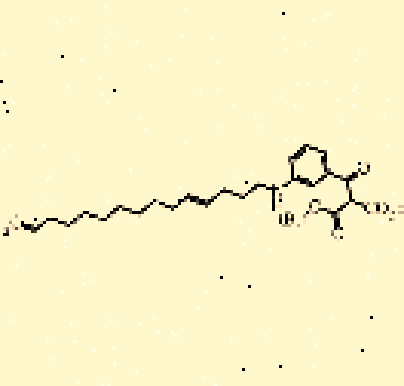 C=CCCCCCCCCC=CCCCNc1cccc(C(=O)C(C(=O)OCC)C(=O)OC(C)(C)C)c1